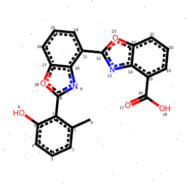 Cc1cccc(O)c1-c1nc2c(-c3nc4c(C(=O)O)cccc4o3)cccc2o1